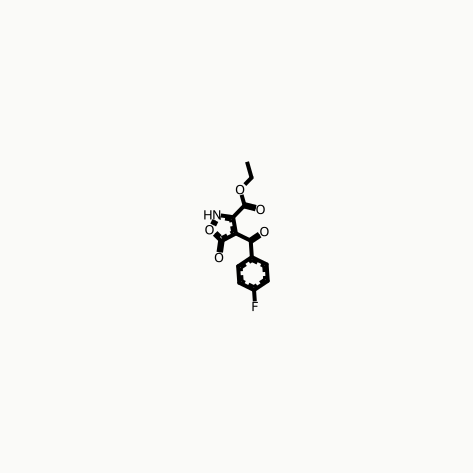 CCOC(=O)c1[nH]oc(=O)c1C(=O)c1ccc(F)cc1